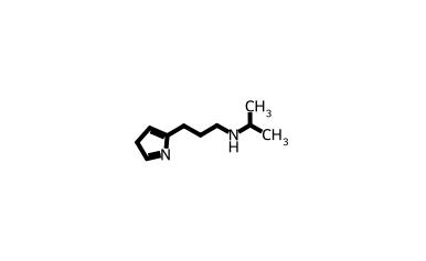 CC(C)NCCCC1=CCC=N1